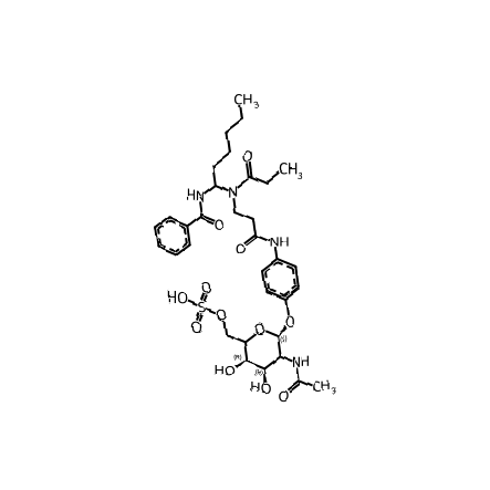 CCCCCC(NC(=O)c1ccccc1)N(CCC(=O)Nc1ccc(O[C@@H]2OC(COS(=O)(=O)O)[C@H](O)[C@H](O)C2NC(C)=O)cc1)C(=O)CC